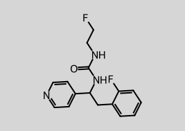 O=C(NCCF)NC(Cc1ccccc1F)c1ccncc1